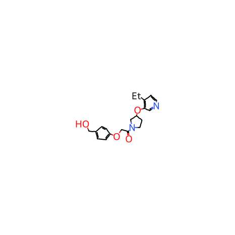 CCc1ccncc1OC1CCN(C(=O)COc2ccc(CO)cc2)C1